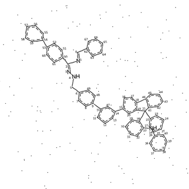 C(=N\C(=N/NCc1ccc(-c2cccc(-c3ccc4c(c3)C(c3ccccc3)(c3ccccc3Nc3ccccc3)c3ccccc3-4)c2)cc1)c1ccc(-c2ccccc2)cc1)/c1ccccc1